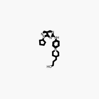 OCCCC1CCN(c2ccc(Nc3ncc4cnn(C5CCCC5)c4n3)cc2)CC1